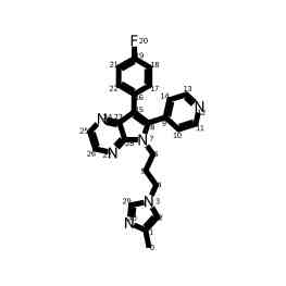 Cc1cn(CCCn2c(-c3ccncc3)c(-c3ccc(F)cc3)c3nccnc32)cn1